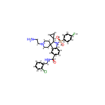 NCCN1CCC2(CC1)c1cc(C(=O)NCc3ccccc3Cl)ccc1N(S(=O)(=O)c1ccc(F)cc1)C2C1CC1